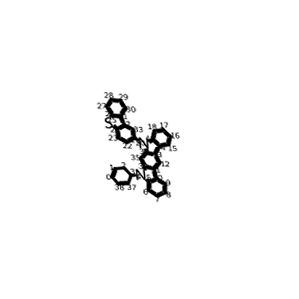 C1=CCC(n2c3ccccc3c3cc4c5ccccc5n(-c5ccc6sc7ccccc7c6c5)c4cc32)C=C1